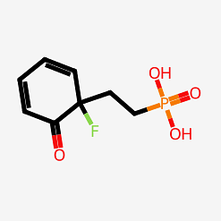 O=C1C=CC=CC1(F)CCP(=O)(O)O